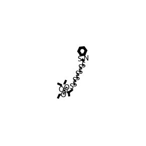 CCO[Si](OCC)(OCC)C(C)CSSSSSSSSc1nc2ccccc2s1